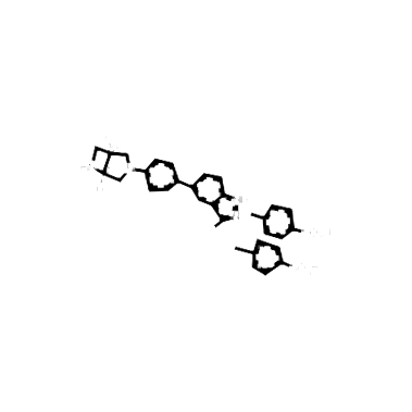 Cc1ccc(S(=O)(=O)O)cc1.Cc1ccc(S(=O)(=O)O)cc1.Cc1n[nH]c2ccc(-c3ccc(N4C[C@@H]5CN[C@@H]5C4)cc3)cc12